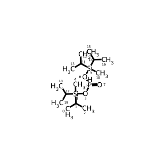 CC(C)[Si](C)(O[PH](=O)O[Si](C)(C(C)C)C(C)C)C(C)C